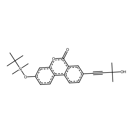 CC(C)(O)C#Cc1ccc2c(c1)c(=O)oc1cc(O[Si](C)(C)C(C)(C)C)ccc12